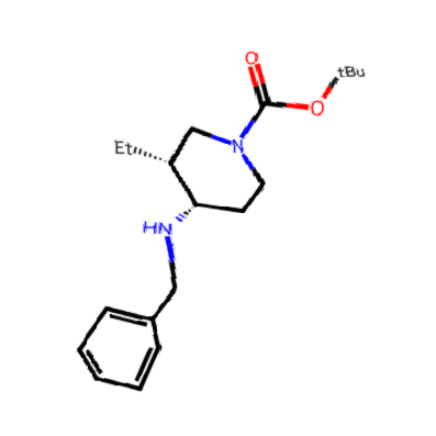 CC[C@@H]1CN(C(=O)OC(C)(C)C)CC[C@@H]1NCc1ccccc1